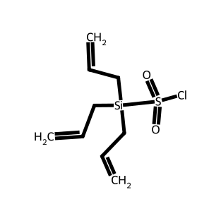 C=CC[Si](CC=C)(CC=C)S(=O)(=O)Cl